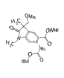 COCC1(C)C(=O)N(C)c2cc(NC(=O)OC(C)(C)C)c(C(=O)OC)cc21